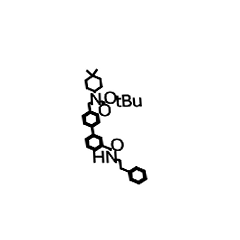 CC1(C)CCC(N(Cc2ccc(-c3cccc(C(=O)NCCc4ccccc4)c3)cc2)C(=O)OC(C)(C)C)CC1